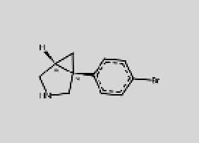 Brc1ccc([C@@]23CNC[C@@H]2C3)cc1